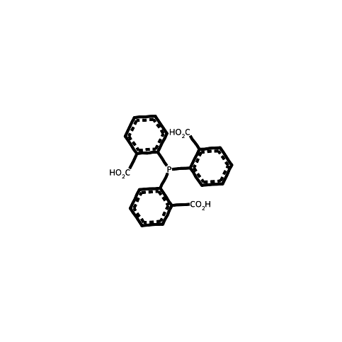 O=C(O)c1ccccc1P(c1ccccc1C(=O)O)c1ccccc1C(=O)O